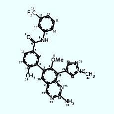 COc1c(-c2cc(C(=O)Nc3cccc(C(F)(F)F)c3)ccc2C)cc2cnc(N)nc2c1-c1cnn(C)c1